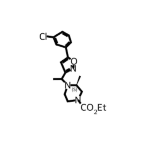 CCOC(=O)N1CCN(C(C)c2cc(-c3cccc(Cl)c3)on2)[C@@H](C)C1